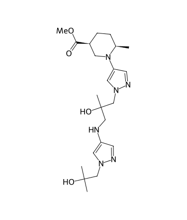 COC(=O)[C@H]1CC[C@@H](C)N(c2cnn(CC(C)(O)CNc3cnn(CC(C)(C)O)c3)c2)C1